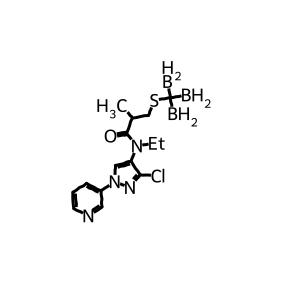 BC(B)(B)SCC(C)C(=O)N(CC)c1cn(-c2cccnc2)nc1Cl